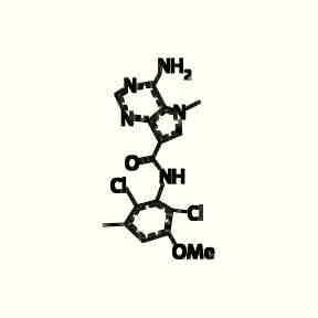 COc1cc(C)c(Cl)c(NC(=O)c2cn(C)c3c(N)ncnc23)c1Cl